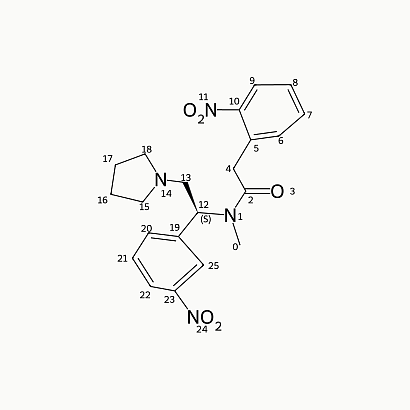 CN(C(=O)Cc1ccccc1[N+](=O)[O-])[C@H](CN1CCCC1)c1cccc([N+](=O)[O-])c1